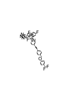 OC(Cn1cnnn1)(c1ccc(F)cc1F)C(F)(F)c1ccc(C#Cc2ccc(COc3ccc(C(F)F)cc3)cc2)cn1